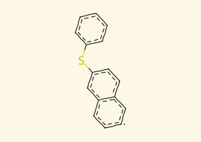 [c]1ccc2cc(Sc3ccccc3)ccc2c1